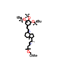 COCOC(C)(C)C/C=C/[C@@H](C)C1CCC2/C(=C/C=C3C[C@@H](O[Si](C)(C)C(C)(C)C)C(O[Si](C)(C)C)[C@H](O[Si](C)(C)C(C)(C)C)C3)CCCC21C